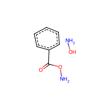 NO.NOC(=O)c1ccccc1